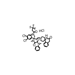 CN(C[C@](CCN1CCC2(CC1)NC(=O)Cc1ccccc12)(c1ccc(Cl)c(Cl)c1)N(C)C(=O)C(=O)N(C)c1ccccc1)C(=O)CC(F)(F)F.Cl